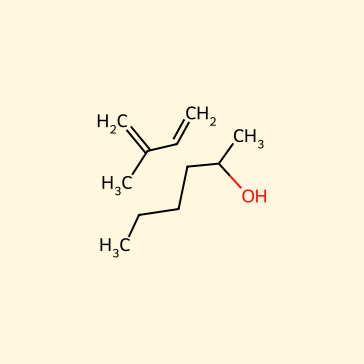 C=CC(=C)C.CCCCC(C)O